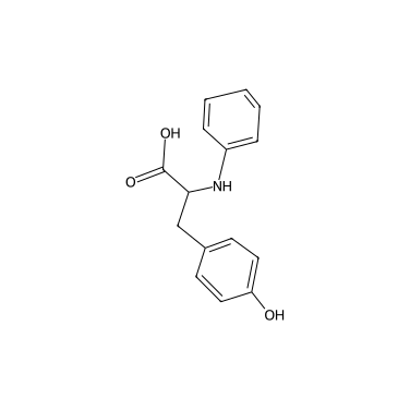 O=C(O)C(Cc1ccc(O)cc1)Nc1ccccc1